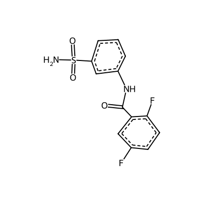 NS(=O)(=O)c1cccc(NC(=O)c2cc(F)ccc2F)c1